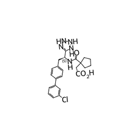 O=C(O)CC1(C(=O)N[C@@H](Cc2ccc(-c3cccc(Cl)c3)cc2)C2=NNNN2)CCCC1